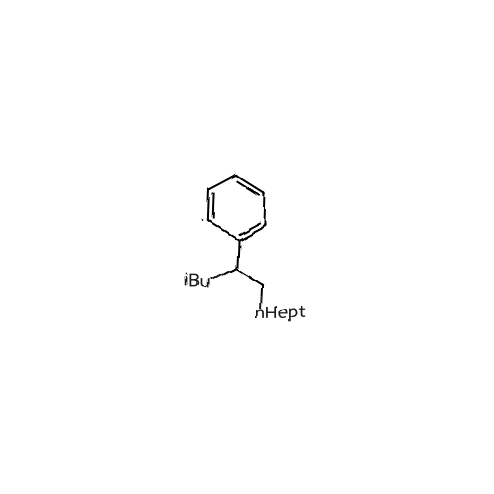 CCCCCCCCC(c1[c]cccc1)C(C)CC